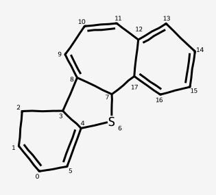 C1=CCC2C(=C1)SC1C2=CC=Cc2ccccc21